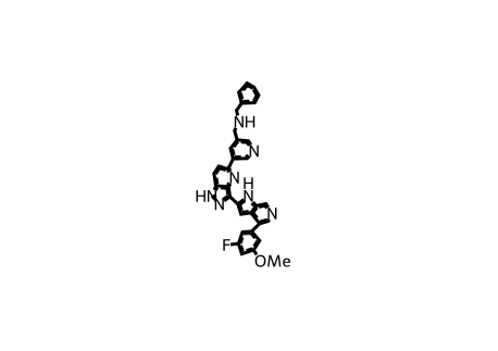 COc1cc(F)cc(-c2cncc3[nH]c(-c4n[nH]c5ccc(-c6cncc(CNCc7ccccc7)c6)nc45)cc23)c1